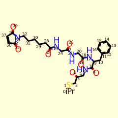 CC(C)SCC(=O)CNC(=O)C(Cc1ccccc1)NC(=O)CNC(=O)CNC(=O)CCCCCN1C(=O)C=CC1=O